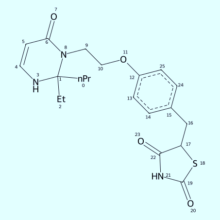 CCCC1(CC)NC=CC(=O)N1CCOc1ccc(CC2SC(=O)NC2=O)cc1